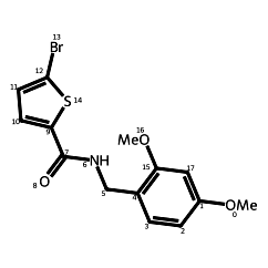 COc1ccc(CNC(=O)c2ccc(Br)s2)c(OC)c1